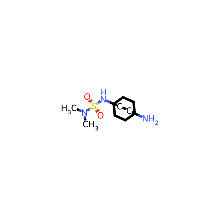 CN(C)S(=O)(=O)NC12CCC(N)(CC1)CC2